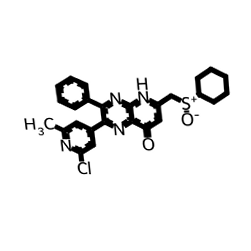 Cc1cc(-c2nc3c(=O)cc(C[S+]([O-])C4CCCCC4)[nH]c3nc2-c2ccccc2)cc(Cl)n1